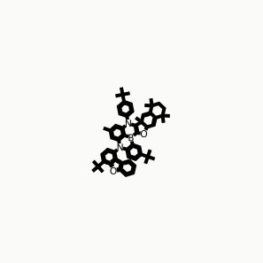 Cc1cc2c3c(c1)N(c1ccc(C(C)(C)C)c4oc5ccccc5c14)c1ccc(C(C)(C)C)cc1B3C1=C(N2c2ccc(C(C)(C)C)cc2)C2(C)C=C3C(=CC2O1)C(C)(C)CCC3(C)C